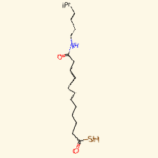 CC(C)CCCCNC(=O)CCCCCCCCCCC(=O)S